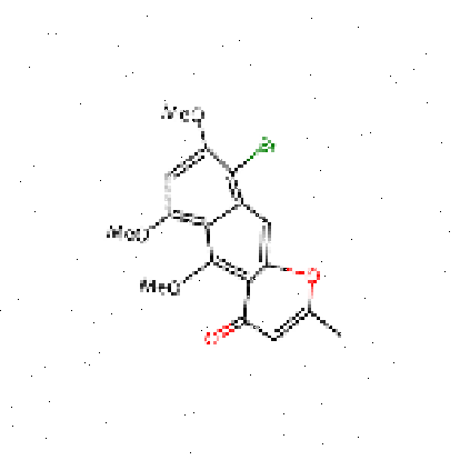 COc1cc(OC)c2c(OC)c3c(=O)cc(C)oc3cc2c1Br